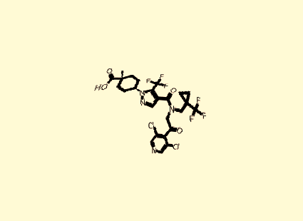 C[C@]1(C(=O)O)CC[C@H](n2ncc(C(=O)N(CC(=O)c3c(Cl)cncc3Cl)CC3(C(F)(F)F)CC3)c2C(F)(F)F)CC1